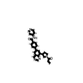 C=CC(=O)N1CCC(c2cc(-c3ccc(C(=O)Nc4ccnnc4)cc3)cc3cncnc23)C1